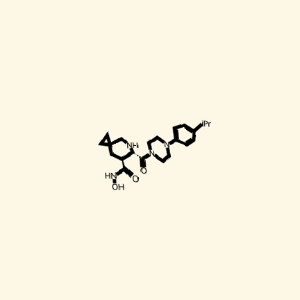 CC(C)c1ccc(N2CCN(C(=O)[C@H]3NCC4(CC4)C[C@@H]3C(=O)NO)CC2)cc1